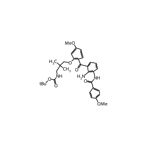 COc1ccc(C(=O)Nc2cccc(C(=O)c3ccc(OC)cc3OCC(C)(C)CNC(=O)OC(C)(C)C)c2N)cc1